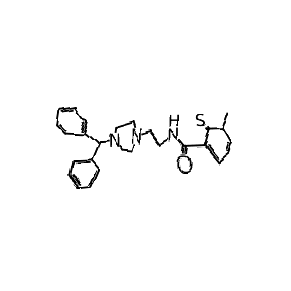 CC1C=CC=C(C(=O)NCCN2CCN(C(c3ccccc3)c3ccccc3)CC2)C1=S